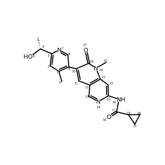 Cc1cc([C@@H](C)O)ncc1-c1cc2cnc(NC(=O)C3CC3)cc2n(C)c1=O